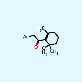 CC(=O)CC(=O)C1=C(C)CCCC1(C)C